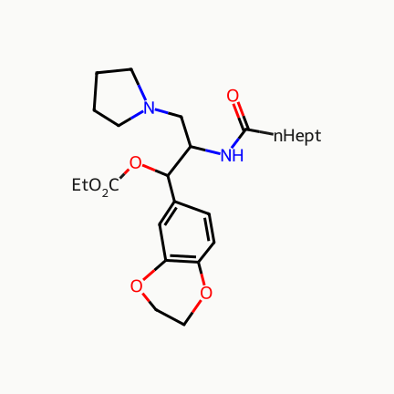 CCCCCCCC(=O)NC(CN1CCCC1)C(OC(=O)OCC)c1ccc2c(c1)OCCO2